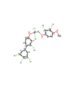 CCOc1ccc(OCC(F)(F)Oc2ccc(-c3cc(F)c(F)c(F)c3)c(F)c2)c(F)c1F